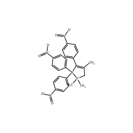 CC1=C(c2ccc([N+](=O)[O-])cc2)[B-](c2ccc([N+](=O)[O-])cc2)(c2ccc([N+](=O)[O-])cc2)[P+](C)(C)C1